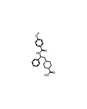 COc1ccc(C(=O)NC(CN2CCC(C(=O)O)CC2)c2ccccc2)cc1